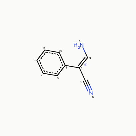 N#C/C(=C/N)c1ccccc1